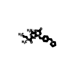 CCCN(C)C(=O)c1nc(N)c2c(n1)N(Cc1ccc(CN3CCCC3)cc1)CC(=O)N2